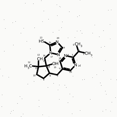 CC(C)c1ncc(CC2CCC(C)(C)C2(O)Cn2ncnc2S)cn1